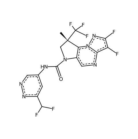 C[C@]1(C(F)(F)F)CN(C(=O)Nc2cnnc(C(F)F)c2)c2cnc3c(F)c(F)nn3c21